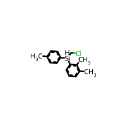 Cc1ccc([SiH](CCl)c2cccc(C)c2C)cc1